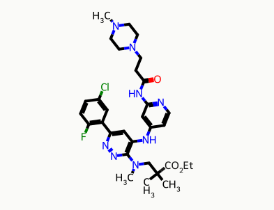 CCOC(=O)C(C)(C)CN(C)c1nnc(-c2cc(Cl)ccc2F)cc1Nc1ccnc(NC(=O)CCN2CCN(C)CC2)c1